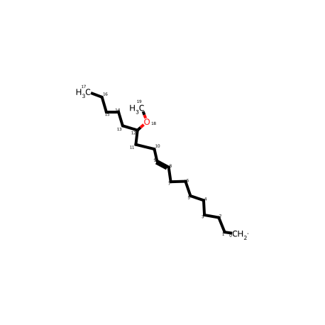 [CH2]CCCCCCCC=CCCC(CCCCC)OC